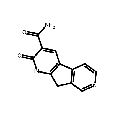 NC(=O)c1cc2c([nH]c1=O)Cc1cnccc1-2